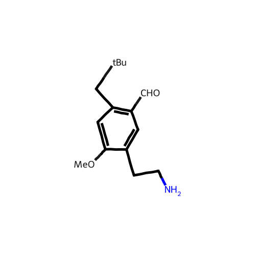 COc1cc(CC(C)(C)C)c(C=O)cc1CCN